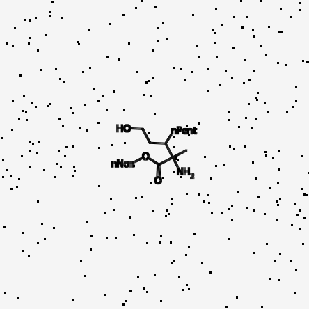 CCCCCCCCCOC(=O)C(C)(N)C(CCO)CCCCC